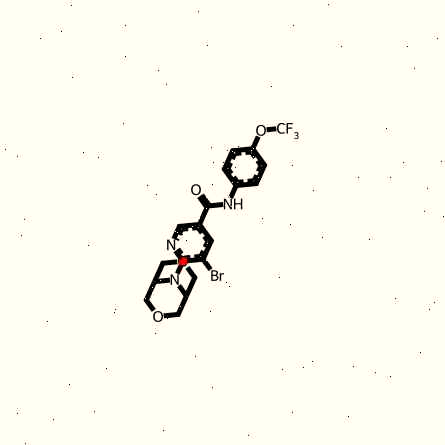 O=C(Nc1ccc(OC(F)(F)F)cc1)c1cnc(N2C3COCC2COC3)c(Br)c1